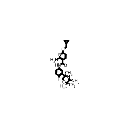 C[C@@]1(c2cc(NC(=O)c3ccc(OCC4CC4)nc3N)ccc2F)CO[C@@](C)(C(F)(F)F)C(N)=N1